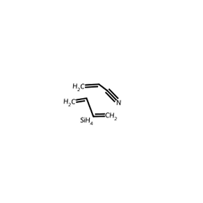 C=CC#N.C=CC=C.[SiH4]